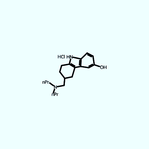 CCCN(CCC)CC1CCc2[nH]c3ccc(O)cc3c2C1.Cl